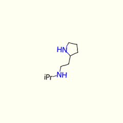 CC(C)NCCC1CCCN1